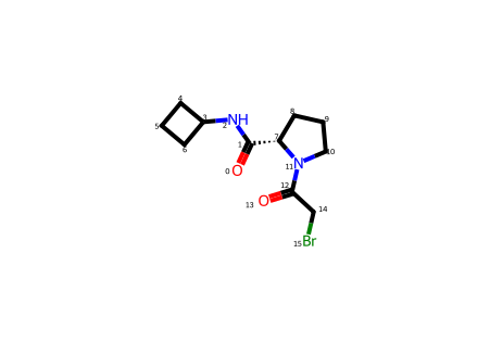 O=C(NC1CCC1)[C@@H]1CCCN1C(=O)CBr